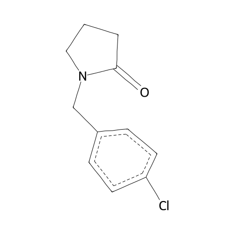 O=C1CCCN1Cc1ccc(Cl)cc1